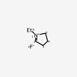 CC[N+]1=CCCC1.[F-]